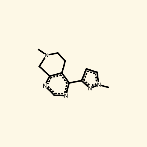 CN1CCc2c(ncnc2-c2ccn(C)n2)C1